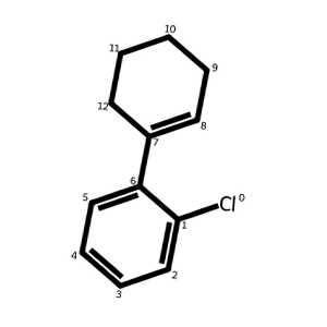 Clc1ccccc1C1=CCCCC1